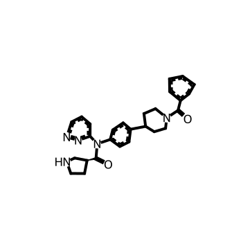 O=C(c1ccccc1)N1CCC(c2ccc(N(C(=O)[C@H]3CCNC3)c3cccnn3)cc2)CC1